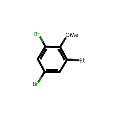 CCc1cc(Br)cc(Br)c1OC